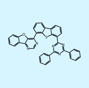 c1ccc(-c2nc(-c3ccccc3)nc(-c3cccc4c3sc3c(-c5ncnc6c5oc5ccccc56)cccc34)n2)cc1